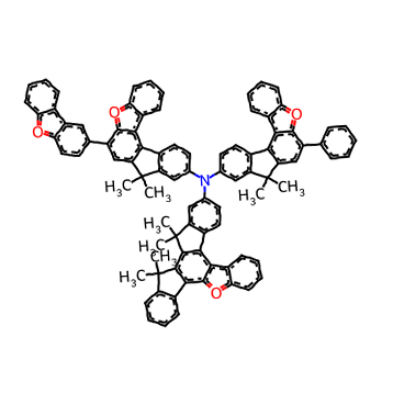 CC1(C)c2cc(N(c3ccc4c(c3)C(C)(C)c3cc(-c5ccc6oc7ccccc7c6c5)c5oc6ccccc6c5c3-4)c3ccc4c(c3)C(C)(C)c3c5c(c6oc7ccccc7c6c3-4)-c3ccccc3C5(C)C)ccc2-c2c1cc(-c1ccccc1)c1oc3ccccc3c21